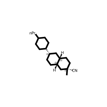 CCCC1CCC([C@H]2CC[C@H]3C[C@@](C)(C#N)CC[C@H]3C2)CC1